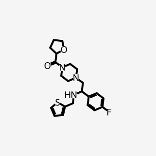 O=C(C1CCCO1)N1CCN(CC(NCc2cccs2)c2ccc(F)cc2)CC1